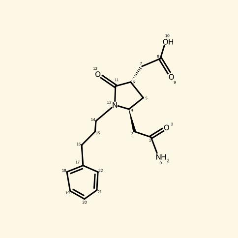 NC(=O)C[C@@H]1C[C@@H](CC(=O)O)C(=O)N1CCCc1ccccc1